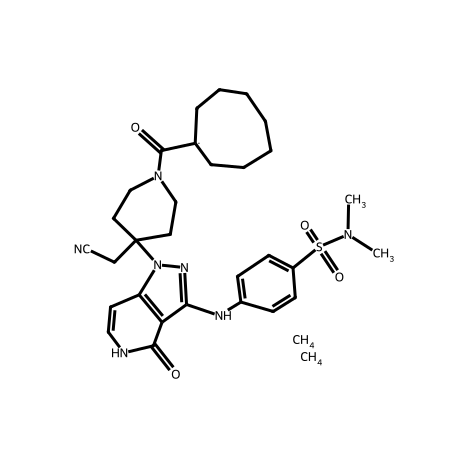 C.C.CN(C)S(=O)(=O)c1ccc(Nc2nn(C3(CC#N)CCN(C(=O)[C]4CCCCCCC4)CC3)c3cc[nH]c(=O)c23)cc1